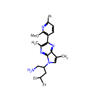 CCC(CC)CC(CN)n1cc(C)c2nc(-c3ccc(C(C)C)nc3OC)c(C)nc21